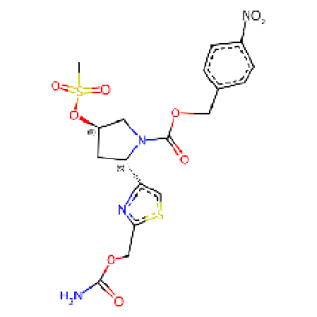 CS(=O)(=O)O[C@@H]1C[C@@H](c2csc(COC(N)=O)n2)N(C(=O)OCc2ccc([N+](=O)[O-])cc2)C1